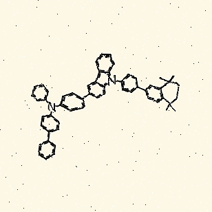 CC1(C)CCC(C)(C)c2cc(-c3ccc(-n4c5ccccc5c5cc(-c6ccc(N(c7ccccc7)c7ccc(-c8ccccc8)cc7)cc6)ccc54)cc3)ccc21